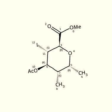 COC(=O)[C@H]1O[C@H](C)[C@H](C)[C@@H](OC(C)=O)[C@@H]1I